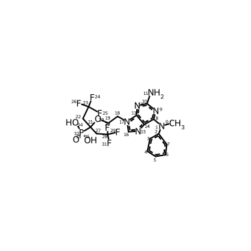 CN(c1ccccc1)c1nc(N)nc2c1ncn2CCOC(CC(F)(F)F)(CC(F)(F)F)P(=O)(O)O